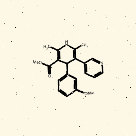 COC(=O)C1=C(C)NC(C)=C(c2cccnc2)C1c1cccc(OC)c1